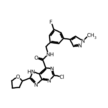 Cn1cc(-c2cc(F)cc(CNC(=O)c3nc(Cl)nc4nc(C5CCCO5)[nH]c34)c2)cn1